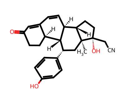 C[C@]12C[C@H](c3ccc(O)cc3)[C@H]3[C@@H](C=CC4=CC(=O)CC[C@@H]43)[C@@H]1CC[C@@]2(O)CC#N